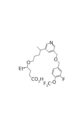 CC[C@H](CCC(=O)O)OCCCC(C)c1cncc(COCc2ccc(OC(F)(F)F)c(F)c2)c1